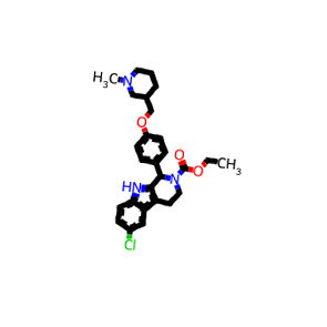 CCOC(=O)N1CCc2c([nH]c3ccc(Cl)cc23)C1c1ccc(OCC2CCCN(C)C2)cc1